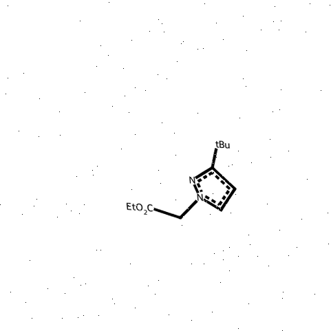 CCOC(=O)Cn1ccc(C(C)(C)C)n1